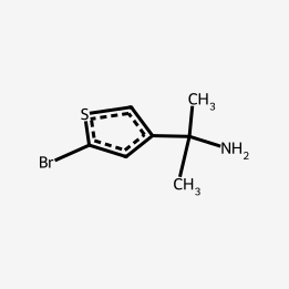 CC(C)(N)c1csc(Br)c1